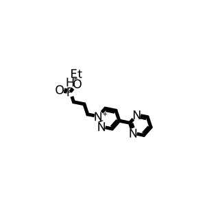 CCO[PH](=O)CCC[n+]1ccc(-c2ncccn2)cn1